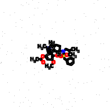 COc1cc(OC(C)=O)c2c3c1O[C@H]1[C@@H](N(CC(C)C)S(=O)(=O)Cc4ccccc4)CC[C@H]4[C@@H](C2)N(C)CC[C@@]341